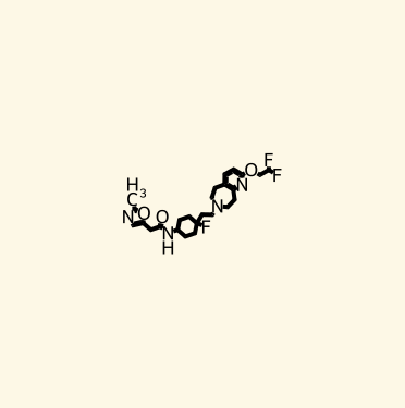 Cc1ncc(CC(=O)NC2CCC(F)(CCN3CCc4ccc(OCC(F)F)nc4CC3)CC2)o1